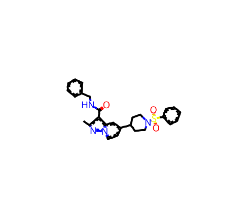 Cc1nn2ccc(C3CCN(S(=O)(=O)c4ccccc4)CC3)cc2c1C(=O)NCc1ccccc1